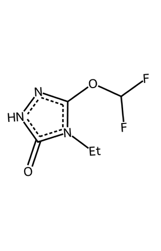 CCn1c(OC(F)F)n[nH]c1=O